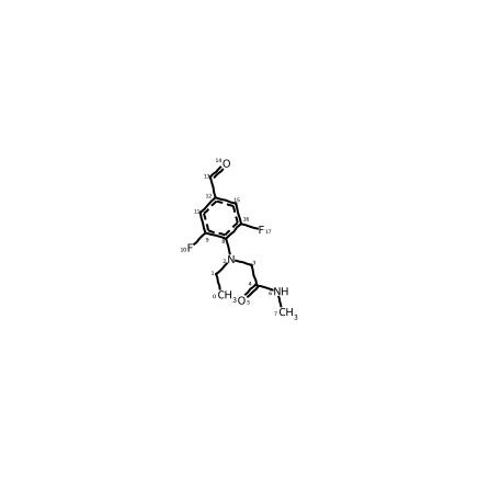 CCN(CC(=O)NC)c1c(F)cc(C=O)cc1F